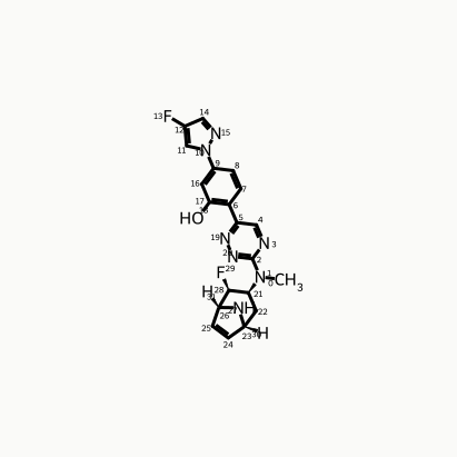 CN(c1ncc(-c2ccc(-n3cc(F)cn3)cc2O)nn1)[C@H]1C[C@@H]2C=C[C@@H](N2)[C@H]1F